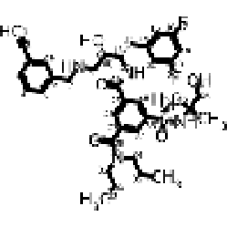 C#Cc1cccc(CNC[C@@H](O)[C@H](Cc2cc(F)cc(F)c2)NC(=O)c2cc(C(=O)N(CCC)CCC)cc(S(=O)(=O)NC(C)(C)CO)c2)c1